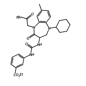 CCOC(=O)c1cccc(NC(=O)NC2CN(C3CCCCC3)c3ccc(C)cc3N(CC(=O)C(C)(C)C)C2=O)c1